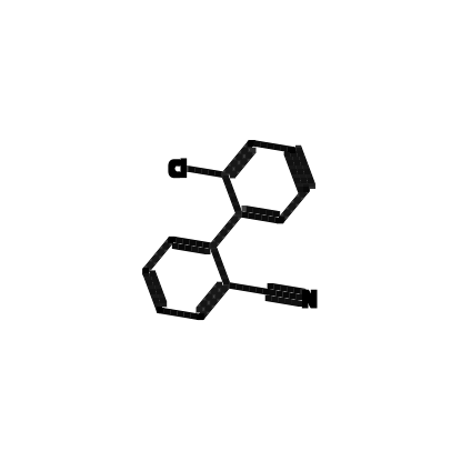 N#Cc1ccccc1-c1cc#ccc1Cl